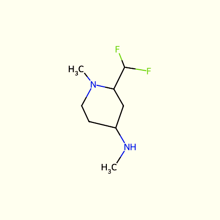 CNC1CCN(C)C(C(F)F)C1